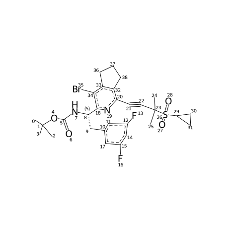 CC(C)(C)OC(=O)N[C@@H](Cc1cc(F)cc(F)c1)c1nc(C#CC(C)(C)S(=O)(=O)C2CC2)c2c(c1Br)CCC2